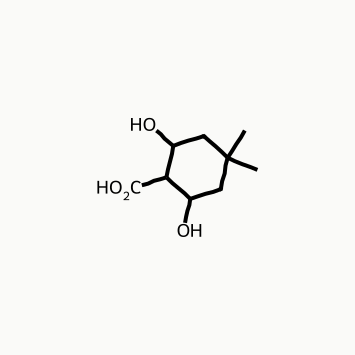 CC1(C)CC(O)C(C(=O)O)C(O)C1